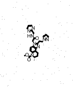 COC(=O)N1c2ccc3c(nc(CCn4cccn4)n3CC(=O)NCc3ncccn3)c2CC[C@@H]1C